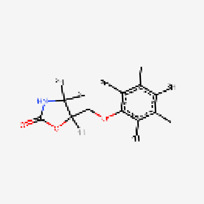 [2H]c1c(C)c([2H])c(OCC2([2H])OC(=O)NC2([2H])[2H])c([2H])c1C